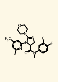 Cc1cc(C(F)(F)F)cc(N2C(N3CCOCC3)=NCC2C(=O)N(C)c2ccc(F)c(Cl)c2)n1